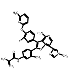 C=C(C)C(=O)Nc1ccc(-c2sc3c(-c4cn(C)cn4)cnc(N)c3c2-c2ccc(Oc3cccc(C)n3)c(F)c2)c(C)c1